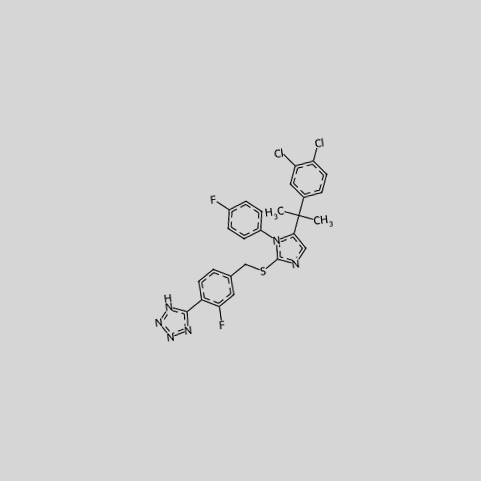 CC(C)(c1ccc(Cl)c(Cl)c1)c1cnc(SCc2ccc(-c3nnn[nH]3)c(F)c2)n1-c1ccc(F)cc1